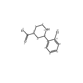 CCC(=O)N1CCNC(c2ccccc2CC)C1